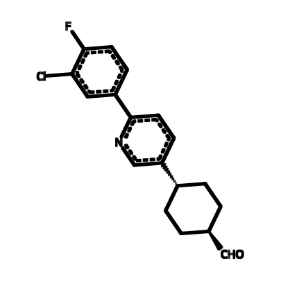 O=C[C@H]1CC[C@H](c2ccc(-c3ccc(F)c(Cl)c3)nc2)CC1